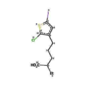 CCC(CCCc1cc(I)sc1Cl)C(=O)O